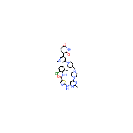 C=N/C=C(\C=C(/C)N1CCC(CN2CCN(c3cc(Nc4ncc(C(=O)Nc5c(C)cccc5Cl)s4)nc(C)n3)CC2)CC1)C1CCC2OC2NC1=O